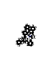 CC/C=C\C1=C(CC)c2ccccc2C12c1ccccc1-c1ccc(-c3nc(-c4ccccc4)nc(-c4ccccc4)n3)cc12